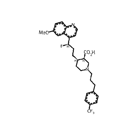 COc1ccc2nccc([C@H](F)CC[C@@H]3CCN(CCCc4ccc(C(F)(F)F)cc4)C[C@@H]3C(=O)O)c2c1